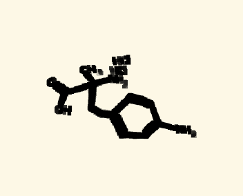 C[C@@](N)(Cc1ccc(N)cc1)C(=O)O.Cl.Cl